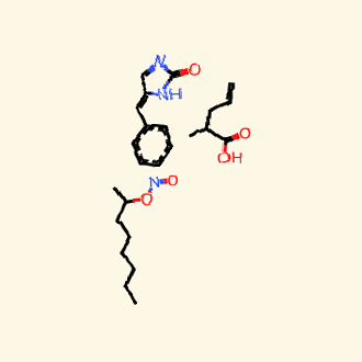 C=CCC(C)C(=O)O.CCCCCCC(C)ON=O.O=C1N=CC(=Cc2ccccc2)N1